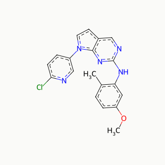 COc1ccc(C)c(Nc2ncc3ccn(-c4ccc(Cl)nc4)c3n2)c1